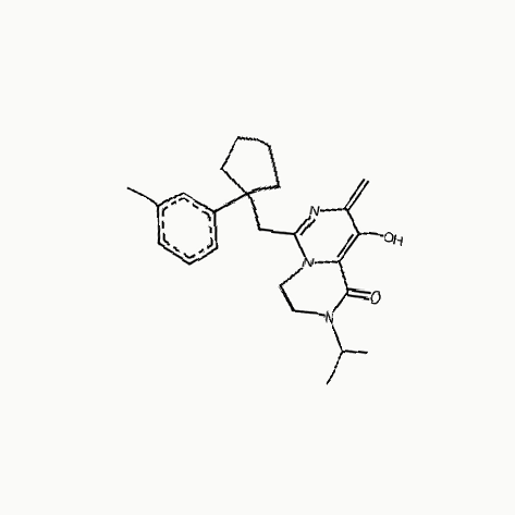 C=C1N=C(CC2(c3cccc(C)c3)CCCC2)N2CCN(C(C)C)C(=O)C2=C1O